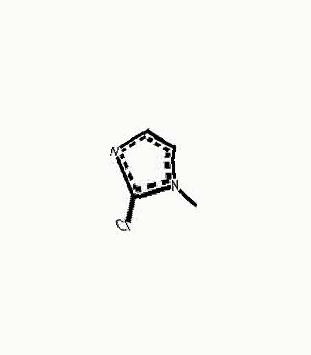 Cn1c[c]nc1Cl